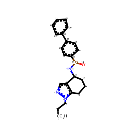 O=C(O)CCn1ncc2c1CCCC2N[S+]([O-])c1ccc(-c2ccccc2)cc1